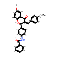 COc1ccc(C=C2C(=O)c3cc(O)ccc3OC2c2ccc(NC(=O)c3ccccc3)cc2)cc1